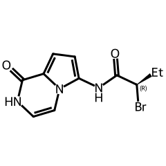 CC[C@@H](Br)C(=O)Nc1ccc2c(=O)[nH]ccn12